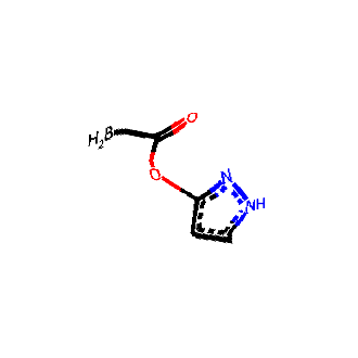 BC(=O)Oc1cc[nH]n1